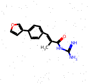 C/C(=C\c1ccc(-c2ccoc2)cc1)C(=O)NC(=N)N